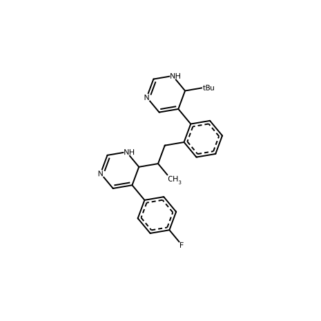 CC(Cc1ccccc1C1=CN=CNC1C(C)(C)C)C1NC=NC=C1c1ccc(F)cc1